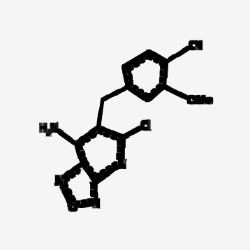 COc1cc(Cc2c(Cl)nc3nonc3c2N)ccc1C#N